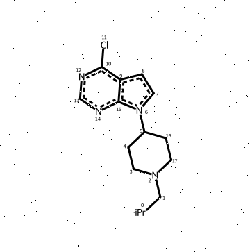 C[C](C)CN1CCC(n2ccc3c(Cl)ncnc32)CC1